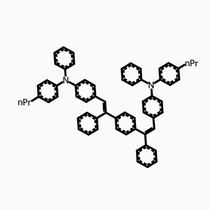 CCCc1ccc(N(c2ccccc2)c2ccc(C=C(c3ccccc3)c3ccc(C(=Cc4ccc(N(c5ccccc5)c5ccc(CCC)cc5)cc4)c4ccccc4)cc3)cc2)cc1